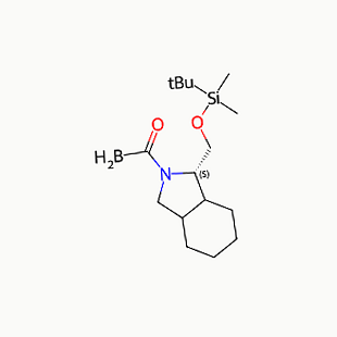 BC(=O)N1CC2CCCCC2[C@H]1CO[Si](C)(C)C(C)(C)C